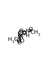 CC(=O)CNc1ccc2c(c1)OCCn1cc(N3C(=O)OC[C@H]3C)nc1-2